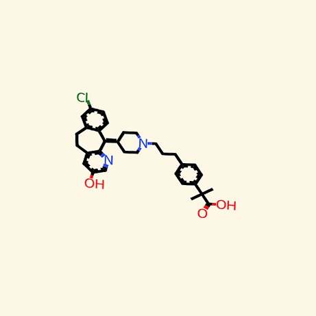 CC(C)(C(=O)O)c1ccc(CCCN2CCC(=C3c4ccc(Cl)cc4CCc4cc(O)cnc43)CC2)cc1